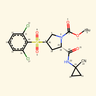 CC(C)(C)OC(=O)N1C[C@H](S(=O)(=O)c2c(Cl)cccc2Cl)C[C@H]1C(=O)NC1(C#N)CC1